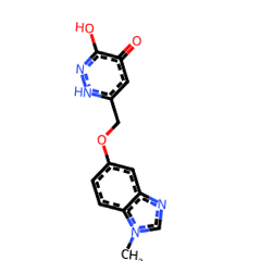 Cn1cnc2cc(OCc3cc(=O)c(O)n[nH]3)ccc21